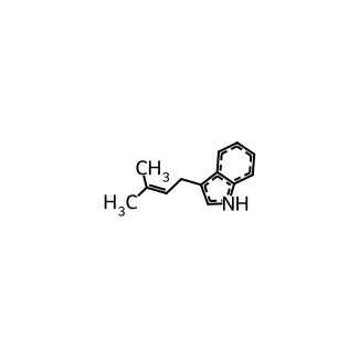 CC(C)=CCc1c[nH]c2ccccc12